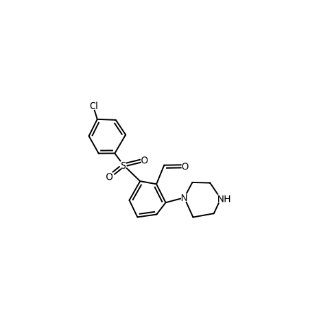 O=Cc1c(N2CCNCC2)cccc1S(=O)(=O)c1ccc(Cl)cc1